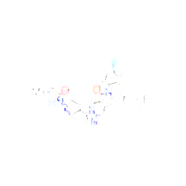 CCOC(=O)C1Cc2cc(F)ccc2N(C(=O)c2ccc3ncc(-c4ccc(NC(=O)OC)nc4)n3c2)C1